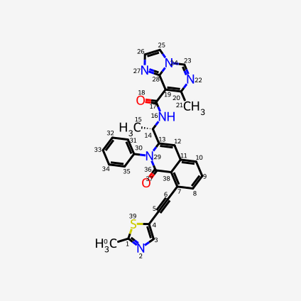 Cc1ncc(C#Cc2cccc3cc([C@H](C)NC(=O)c4c(C)ncn5ccnc45)n(-c4ccccc4)c(=O)c23)s1